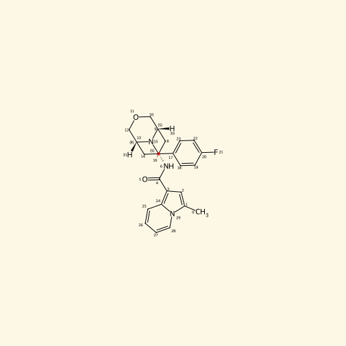 Cc1cc(C(=O)N[C@H]2C[C@H]3COC[C@@H](C2)N3Cc2ccc(F)cc2)c2ccccn12